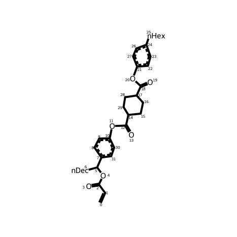 C=CC(=O)OC(CCCCCCCCCC)c1ccc(OC(=O)C2CCC(C(=O)Oc3ccc(CCCCCC)cc3)CC2)cc1